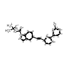 CC(C)(C)OC(=O)n1ncc2cc(C#Cc3ccnc(-c4ccnc(Cl)n4)n3)ccc21